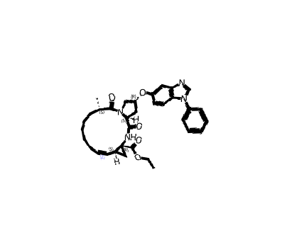 CCOC(=O)[C@@]12C[C@H]1/C=C\CCCCC[C@H](C)C(=O)N1C[C@H](Oc3ccc4c(c3)ncn4-c3ccccc3)C[C@H]1C(=O)N2